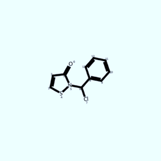 O=c1ccsn1C(Cl)c1ccccc1